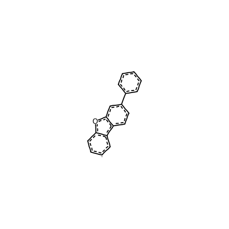 [c]1ccc2oc3cc(-c4ccccc4)ccc3c2c1